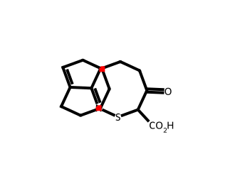 O=C(O)C1S/N=C(/C2=C\CCCCCC2)CCCC1=O